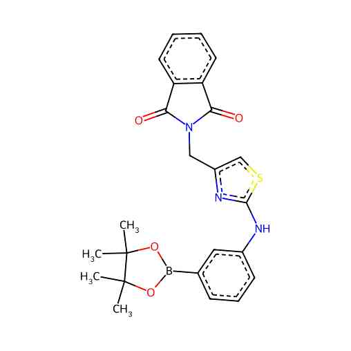 CC1(C)OB(c2cccc(Nc3nc(CN4C(=O)c5ccccc5C4=O)cs3)c2)OC1(C)C